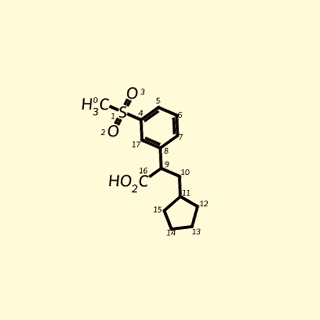 CS(=O)(=O)c1cccc(C(CC2CCCC2)C(=O)O)c1